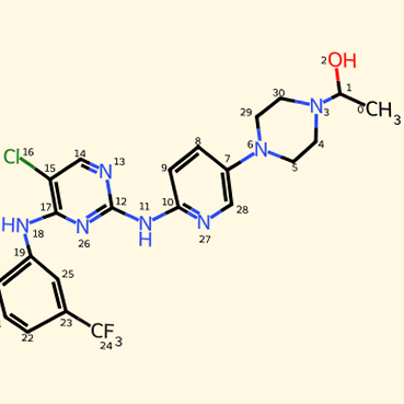 CC(O)N1CCN(c2ccc(Nc3ncc(Cl)c(Nc4cccc(C(F)(F)F)c4)n3)nc2)CC1